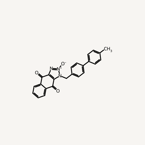 Cc1ccc(-c2ccc(Cn3c4c(n[n+]3[O-])C(=O)c3ccccc3C4=O)cc2)cc1